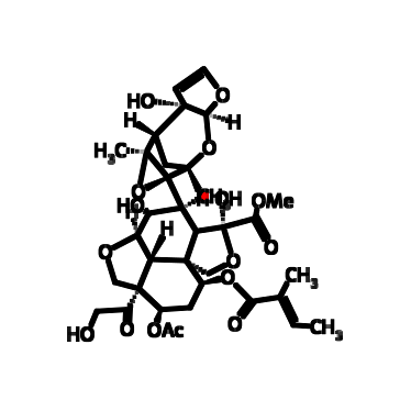 C/C=C(\C)C(=O)O[C@H]1C[C@@H](OC(C)=O)[C@@]2(C(=O)CO)CO[C@H]3[C@@H](O)[C@@](C)([C@]45O[C@@]4(C)[C@H]4C[C@@H]5O[C@@H]5OC=C[C@@]54O)C4[C@]1(CO[C@]4(O)C(=O)OC)[C@@H]32